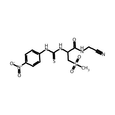 CS(=O)(=O)CC(NC(=S)Nc1ccc([N+](=O)[O-])cc1)C(=O)NCC#N